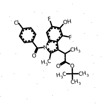 Cc1c(C(C)C(=O)OC(C)(C)C)c2c(F)c(O)c(F)cc2n1C(=O)c1ccc(Cl)cc1